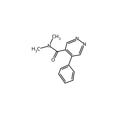 CN(C)C(=O)c1cnncc1-c1ccccc1